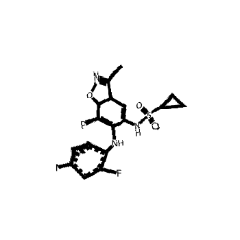 CC1=NOC2C(F)=C(Nc3ccc(I)cc3F)C(NS(=O)(=O)C3CC3)=CC12